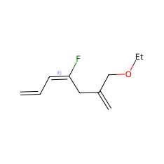 C=C/C=C(/F)CC(=C)COCC